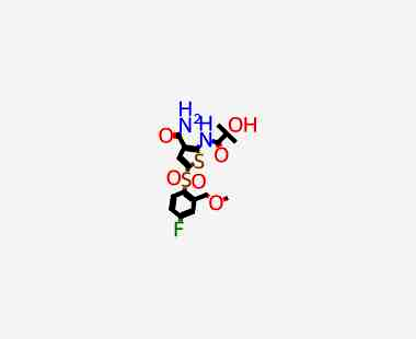 COCc1cc(F)ccc1S(=O)(=O)c1cc(C(N)=O)c(NC(=O)C(C)(C)O)s1